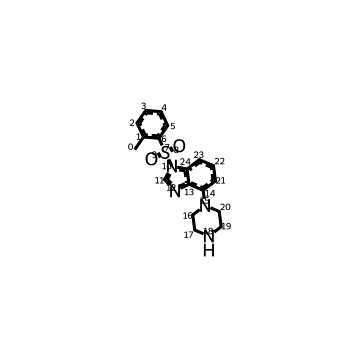 Cc1ccccc1S(=O)(=O)n1cnc2c(N3CCNCC3)cccc21